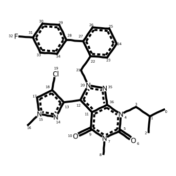 CC(C)Cn1c(=O)n(C)c(=O)c2c(-c3nn(C)cc3Cl)n(Cc3ccccc3-c3ccc(F)cc3)nc21